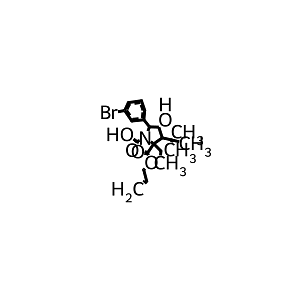 C=CCOC(=O)C1(CC)C(C(C)(C)C)C(O)C(c2cccc(Br)c2)N1C(=O)O